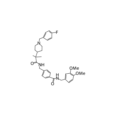 COc1ccc(CNC(=O)c2ccc(CNC(=O)C(C)(C)C3CCN(Cc4ccc(F)cc4)CC3)cc2)cc1OC